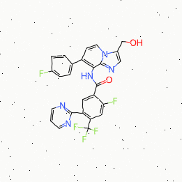 O=C(Nc1c(-c2ccc(F)cc2)ccn2c(CO)cnc12)c1cc(-c2ncccn2)c(C(F)(F)F)cc1F